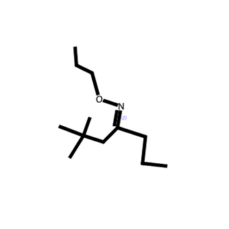 CCCO/N=C(/CCC)CC(C)(C)C